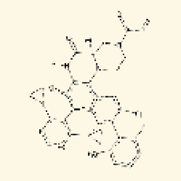 C=CC(=O)N1CCN2c3c(c(=O)n(-c4c(C5CC5)ncnc4C4CC4)c4c(F)c(-c5c(O)cccc5F)c(Cl)cc34)N(C)C(=O)[C@H]2C1